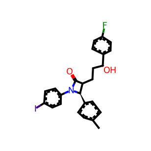 Cc1ccc([C@@H]2C(CC[C@H](O)c3ccc(F)cc3)C(=O)N2c2ccc(I)cc2)cc1